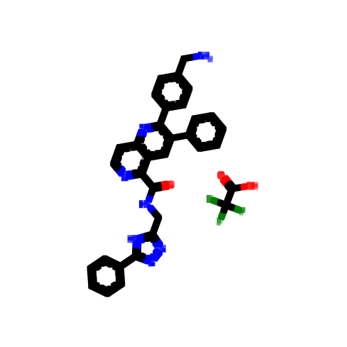 NCc1ccc(-c2nc3ccnc(C(=O)NCc4nnc(-c5ccccc5)[nH]4)c3cc2-c2ccccc2)cc1.O=C(O)C(F)(F)F